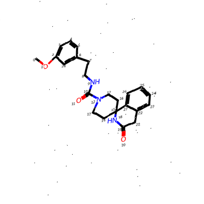 COc1cccc(CCNC(=O)N2CCC3(CC2)NC(=O)Cc2ccccc23)c1